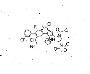 Cc1nc2c(F)c(-c3cccc(Cl)c3Cl)c(CCC#N)cc2c2c1cc(C1CC(N3C(=O)COC3=O)CN1C(=O)C1CC1)n2C1C2CNC1C2